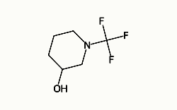 OC1CCCN(C(F)(F)F)C1